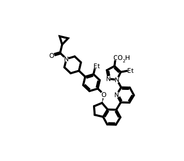 CCc1cc(O[C@H]2CCc3cccc(-c4cccc(-n5ncc(C(=O)O)c5CC)n4)c32)ccc1C1CCN(C(=O)C2CC2)CC1